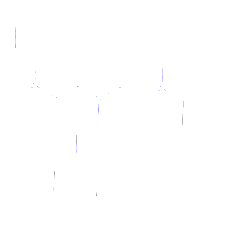 CC(=O)OCCN(C)CCN(CCN(C)CCOC(C)=O)CCN(CCOC(C)=O)CCOC(C)=O